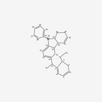 CCC1CC=CC=C1C(C)C1=CC=C2C(C1)C1C=CCCC1N2c1ccccc1